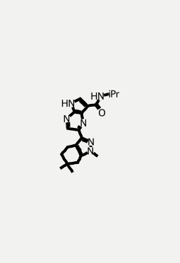 CC(C)NC(=O)c1c[nH]c2ncc(-c3nn(C)c4c3CCC(C)(C)C4)nc12